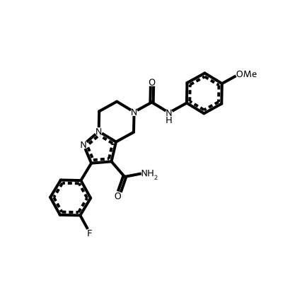 COc1ccc(NC(=O)N2CCn3nc(-c4cccc(F)c4)c(C(N)=O)c3C2)cc1